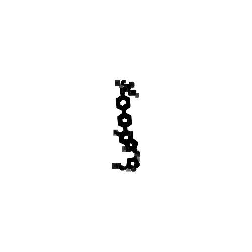 CS(C)(=O)=NC1CC=C(c2ccc(-c3nc4cc(O[C@@H]5CO[C@H](CO)C5)[nH]c4cc3F)cc2)CC1